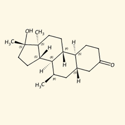 C[C@@H]1C[C@H]2CC(=O)CC[C@@H]2[C@H]2CC[C@@]3(C)[C@@H](CC[C@]3(C)O)[C@@H]21